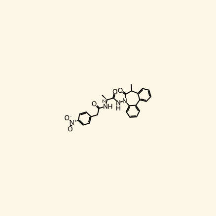 CC1C(=O)N(NC(=O)[C@H](C)NC(=O)Cc2ccc([N+](=O)[O-])cc2)c2ccccc2-c2ccccc21